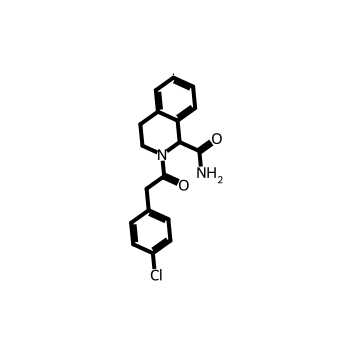 NC(=O)C1c2cc[c]cc2CCN1C(=O)Cc1ccc(Cl)cc1